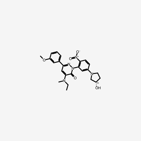 CCN(C)c1cc(-c2cccc(OC)c2)nn(-c2cc(N3CC[C@H](O)C3)ccc2[N+](=O)[O-])c1=O